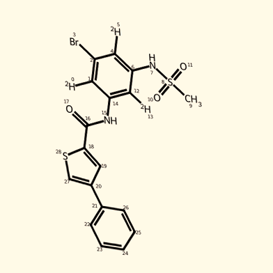 [2H]c1c(Br)c([2H])c(NS(C)(=O)=O)c([2H])c1NC(=O)c1cc(-c2ccccc2)cs1